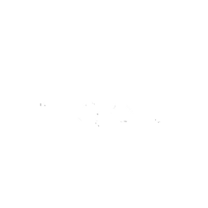 CCCCCCCCCOc1ccc(-c2ncc(OCC(C)CC)cn2)cc1